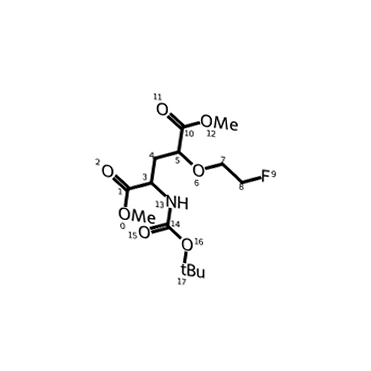 COC(=O)C(CC(OCCF)C(=O)OC)NC(=O)OC(C)(C)C